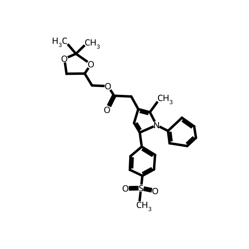 Cc1c(CC(=O)OCC2COC(C)(C)O2)cc(-c2ccc(S(C)(=O)=O)cc2)n1-c1ccccc1